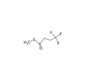 CSC(=O)CCC(F)(F)F